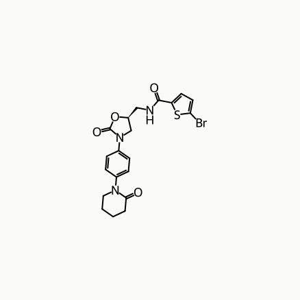 O=C(NC[C@H]1CN(c2ccc(N3CCCCC3=O)cc2)C(=O)O1)c1ccc(Br)s1